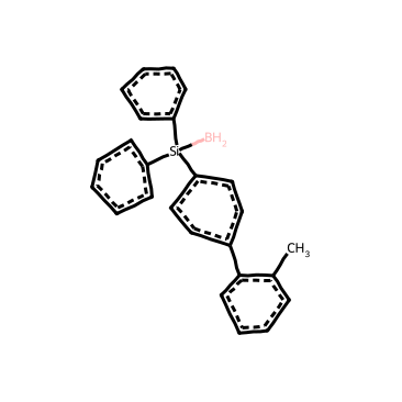 B[Si](c1ccccc1)(c1ccccc1)c1ccc(-c2ccccc2C)cc1